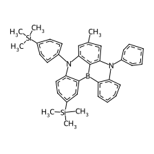 Cc1cc2c3c(c1)N(c1ccc([Si](C)(C)C)cc1)c1ccc([Si](C)(C)C)cc1B3c1ccccc1N2c1ccccc1